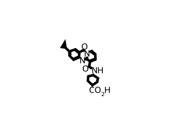 O=C(N[C@H]1CC[C@H](C(=O)O)CC1)c1cccn2c(=O)c3cc(C4CC4)ccc3nc12